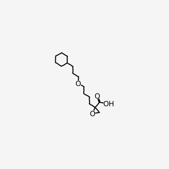 O=C(O)C1(CCCCOCCCC2CCCCC2)CO1